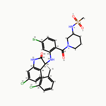 CS(=O)(=O)NC1CCCN(C(=O)c2ccc(Br)cc2N[C@]2(Cc3cccc(Cl)c3)C(=O)Nc3cc(Cl)ccc32)C1